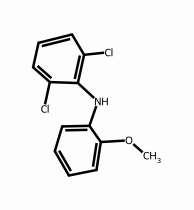 COc1ccccc1Nc1c(Cl)cccc1Cl